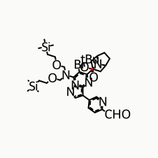 CC(C)(C)OC(=O)N1C2CCC1CC(c1nc3c(-c4ccc(C=O)nc4)cnn3c(N(COCC[Si](C)(C)C)COCC[Si](C)(C)C)c1Br)C2